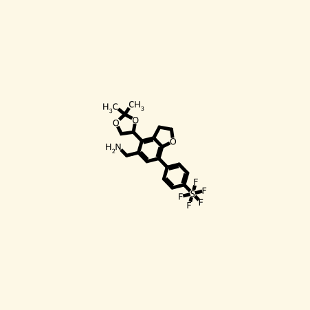 CC1(C)OCC(c2c(CN)cc(-c3ccc(S(F)(F)(F)(F)F)cc3)c3c2CCO3)O1